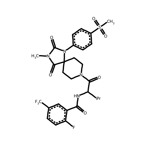 CC(C)C(NC(=O)c1cc(C(F)(F)F)ccc1F)C(=O)N1CCC2(CC1)C(=O)N(C)C(=O)N2c1ccc(S(C)(=O)=O)cc1